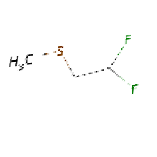 CSCC(F)F